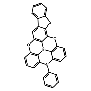 c1ccc(N2c3cccc4c3B3c5c(cccc52)Oc2c3c(cc3c2sc2ccccc23)O4)cc1